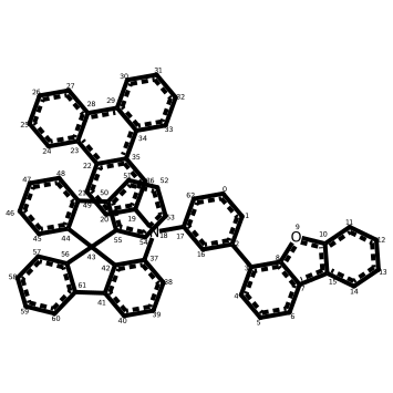 c1cc(-c2cccc3c2oc2ccccc23)cc(N(c2ccc3c4ccccc4c4ccccc4c3c2)c2cccc3c2C2(c4ccccc4-c4ccccc42)c2ccccc2-3)c1